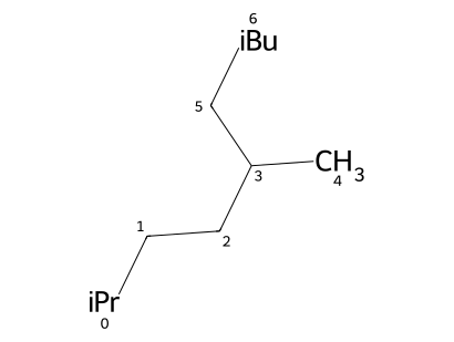 [CH2]C(C)CCC(C)CC(C)CC